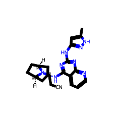 Cc1cc(Nc2nc(N[C@@H]3C[C@H]4CC[C@@H](C3)N4CCC#N)c3cccnc3n2)n[nH]1